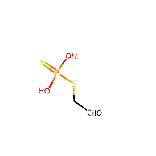 O=CCSP(O)(O)=S